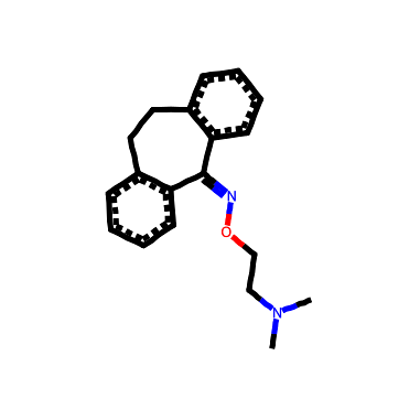 CN(C)CCON=C1c2ccccc2CCc2ccccc21